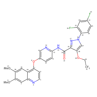 COc1cc2nccc(Oc3ccc(NC(=O)c4nn(-c5ccc(F)cc5F)cc4OCC(F)(F)F)nc3)c2cc1OC